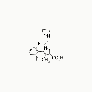 Cc1c(C(=O)O)cn(CCN2CCCC2)c1-c1c(F)cccc1F